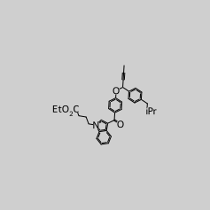 CC#CC(Oc1ccc(C(=O)c2cn(CCCC(=O)OCC)c3ccccc23)cc1)c1ccc(CC(C)C)cc1